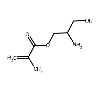 C=C(C)C(=O)OCC(N)CO